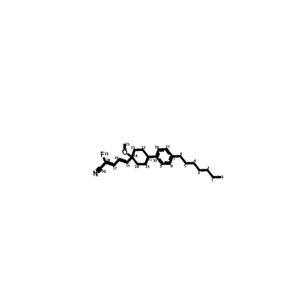 CCCCCCCc1ccc(C2CCC(C=CC=C(F)C#N)(OC)CC2)cc1